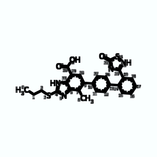 CCCSc1nc2c(C)c(-c3ccc(-c4ccccc4-c4nc(=O)s[nH]4)cc3)cc(C(=O)O)c2[nH]1